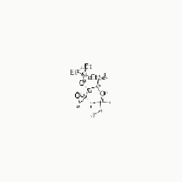 C=C[C@H]1OC(C)(CI)C[C@@]2(CO2)[C@@H]1O[Si](CC)(CC)CC